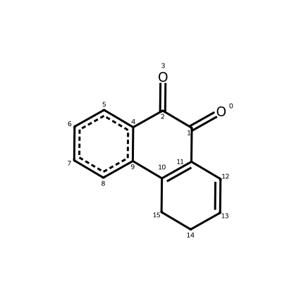 O=C1C(=O)c2ccccc2C2=C1C=CCC2